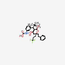 CC(C)(C)C(C1=C(O)CC(CCc2ccccc2)(CCC(F)(F)F)OC1=O)c1cccc(NC(=O)O)c1